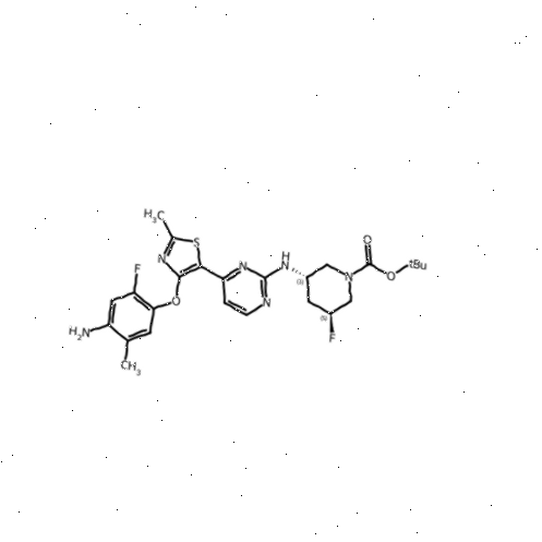 Cc1nc(Oc2cc(C)c(N)cc2F)c(-c2ccnc(N[C@H]3C[C@H](F)CN(C(=O)OC(C)(C)C)C3)n2)s1